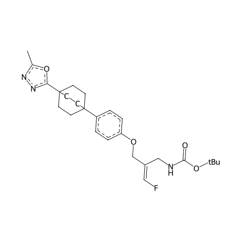 Cc1nnc(C23CCC(c4ccc(OC/C(=C/F)CNC(=O)OC(C)(C)C)cc4)(CC2)CC3)o1